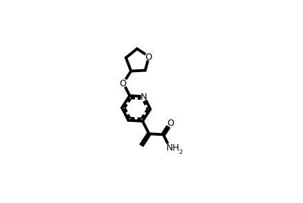 C=C(C(N)=O)c1ccc(OC2CCOC2)nc1